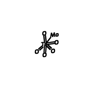 [O]=[Ta](=[O])(=[O])(=[O])(=[O])[Mo]